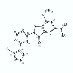 CCN(CC)c1cc2c(c(CN)n1)CN(c1cccc(-c3nncn3CC)n1)C2=O